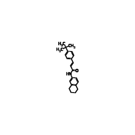 CC(C)(C)c1ccc(C=CC(=O)Nc2ccc3c(c2)CCCC3)cc1